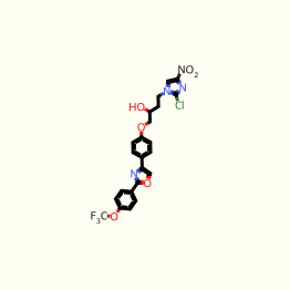 O=[N+]([O-])c1cn(CCC(O)COc2ccc(-c3coc(-c4ccc(OC(F)(F)F)cc4)n3)cc2)c(Cl)n1